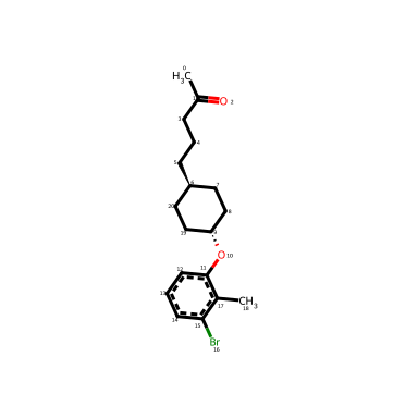 CC(=O)CCC[C@H]1CC[C@H](Oc2cccc(Br)c2C)CC1